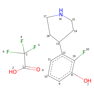 O=C(O)C(F)(F)F.Oc1cccc(C2CCNCC2)c1F